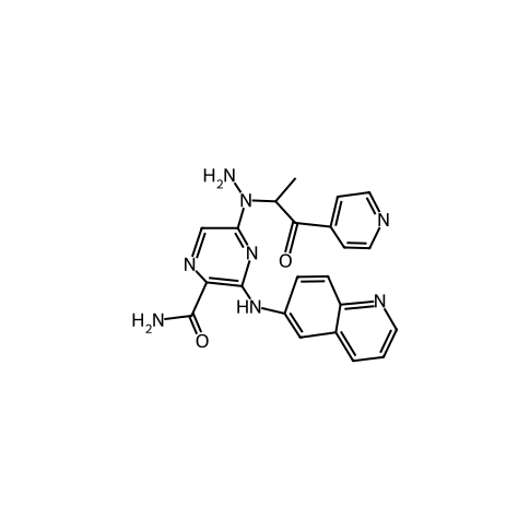 CC(C(=O)c1ccncc1)N(N)c1cnc(C(N)=O)c(Nc2ccc3ncccc3c2)n1